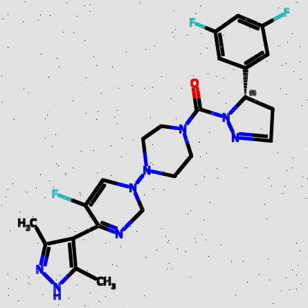 Cc1n[nH]c(C)c1C1=NCN(N2CCN(C(=O)N3N=CC[C@H]3c3cc(F)cc(F)c3)CC2)C=C1F